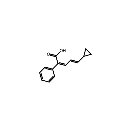 O=C(O)C(=CC=CC1CC1)c1ccccc1